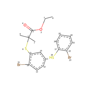 CCOC(=O)C(C)(C)Sc1ccccc1Br.Sc1ccccc1Br